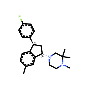 Cc1ccc2c(c1)[C@@H](N1CCN(C)C(C)(C)C1)C[C@@H]2c1ccc(F)cc1